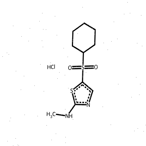 CNc1ncc(S(=O)(=O)C2CCCCC2)s1.Cl